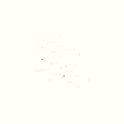 C=CCOc1c(C)c2c(c3c1CC1[C@H]4c5c(cc(C)c(OC)c5O)C[C@@H](C(C#N)N1[C@H]3CO)N4C)OCO2